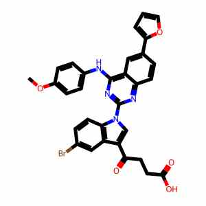 COc1ccc(Nc2nc(-n3cc(C(=O)CCC(=O)O)c4cc(Br)ccc43)nc3ccc(-c4ccco4)cc23)cc1